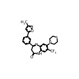 Cc1cc(-c2cccc(C3=Nc4cc(N5CCSCC5)c(C(F)(F)F)cc4NC(=O)C3)c2)on1